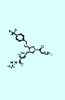 C=CC(=O)N1CC(OCc2ccc(C(F)(F)F)cc2)C(n2cc(C(=O)NC)nn2)C1